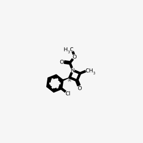 COC(=O)N1C(C)C(=O)[C@H]1c1ccccc1Cl